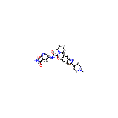 CN1CCC(c2nc3cc(C4CCCCN4C(=O)C(=O)Nc4cnc5o[nH]c(=O)c5c4)ccc3s2)CC1